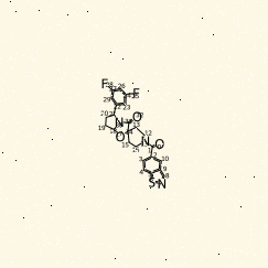 O=C(c1ccc2sncc2c1)N1CCC2(CC1)OC1CCC(c3cc(F)cc(F)c3)N1C2=O